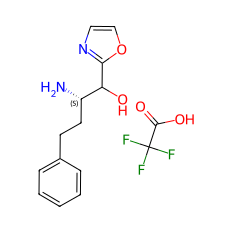 N[C@@H](CCc1ccccc1)C(O)c1ncco1.O=C(O)C(F)(F)F